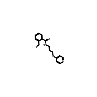 O=C(NCCCOc1ccncc1)c1ccccc1CO